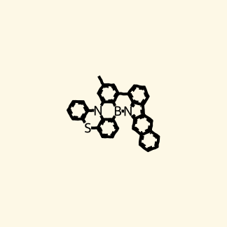 Cc1cc2c3c(c1)N1c4ccccc4Sc4cccc(c41)B3n1c3cc4ccccc4cc3c3cccc-2c31